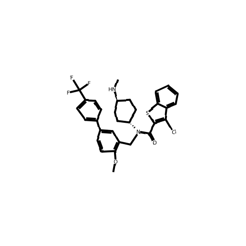 CN[C@H]1CC[C@H](N(Cc2cc(-c3ccc(C(F)(F)F)cc3)ccc2OC)C(=O)c2sc3ccccc3c2Cl)CC1